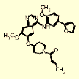 CC=CC(=O)N1CCC(Oc2cc3c(Nc4cc(-c5ccco5)ccc4OC)ncnc3cc2OC)CC1